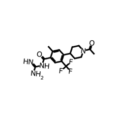 CC(=O)N1CCC(c2cc(C)c(C(=O)NC(=N)N)cc2C(F)(F)F)CC1